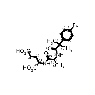 C[C@H](NC(=O)C(C)(C)c1ccc(F)cc1)C(=O)N[C@H](CCC(=O)O)C(=O)O